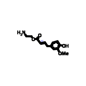 COc1cc(C/C=C/C(=O)OCCN)ccc1O